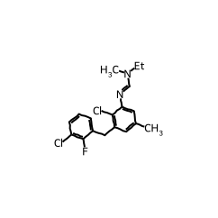 CCN(C)C=Nc1cc(C)cc(Cc2cccc(Cl)c2F)c1Cl